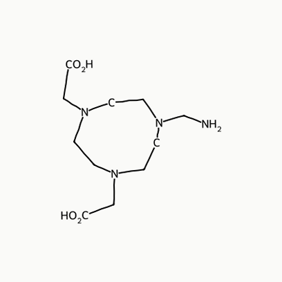 NCN1CCN(CC(=O)O)CCN(CC(=O)O)CC1